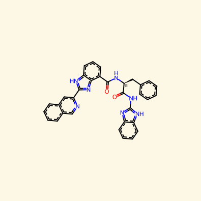 O=C(N[C@@H](Cc1ccccc1)C(=O)Nc1nc2ccccc2[nH]1)c1cccc2[nH]c(-c3cc4ccccc4cn3)nc12